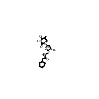 Cc1cn([C@H]2C[C@H](O)[C@@H](CNC(=O)Cc3ccccc3)O2)c(=O)[nH]c1=O